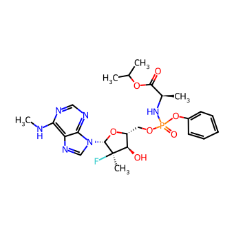 CNc1ncnc2c1ncn2[C@@H]1O[C@H](COP(=O)(N[C@H](C)C(=O)OC(C)C)Oc2ccccc2)[C@@H](O)[C@@]1(C)F